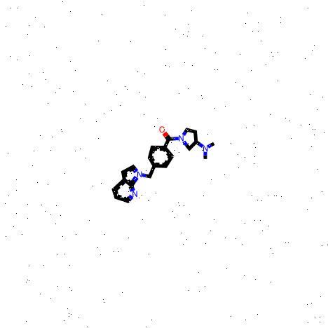 CN(C)C1CCN(C(=O)c2ccc(Cn3ccc4cccnc43)cc2)C1